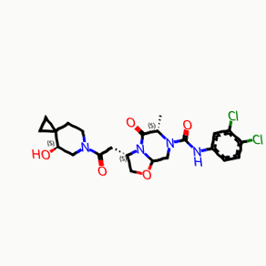 C[C@H]1C(=O)N2C(CN1C(=O)Nc1ccc(Cl)c(Cl)c1)OC[C@@H]2CC(=O)N1CCC2(CC2)[C@H](O)C1